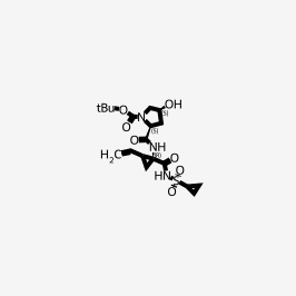 C=CC1C[C@]1(NC(=O)[C@@H]1C[C@H](O)CN1C(=O)OC(C)(C)C)C(=O)NS(=O)(=O)C1CC1